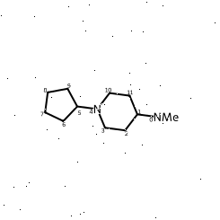 CNC1CCN(C2CCCC2)CC1